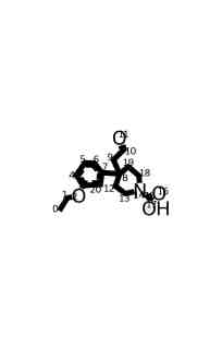 CCOc1cccc(C2(CC=O)CCN(C(=O)O)CC2)c1